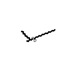 CCCCCCCCCCCCCC(=O)OCC(CC)CCCCCCCC